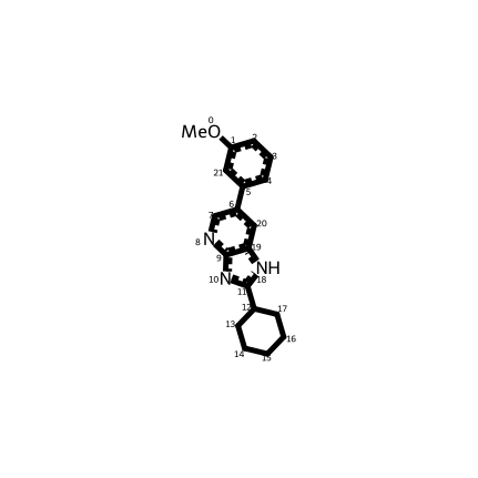 COc1cccc(-c2cnc3nc(C4CCCCC4)[nH]c3c2)c1